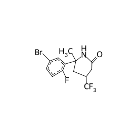 CC1(c2cc(Br)ccc2F)CC(C(F)(F)F)CC(=O)N1